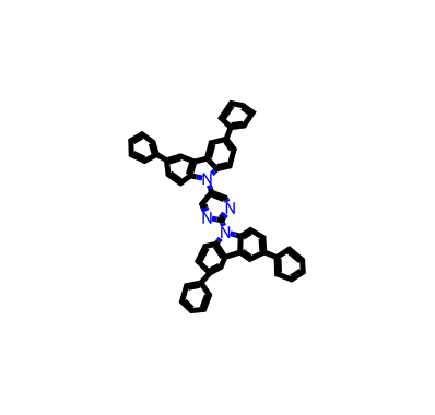 c1ccc(-c2ccc3c(c2)c2cc(-c4ccccc4)ccc2n3-c2cnc(-n3c4ccc(-c5ccccc5)cc4c4cc(-c5ccccc5)ccc43)nc2)cc1